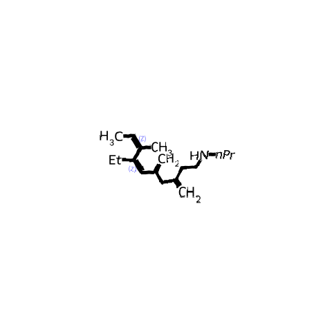 C=C(/C=C(CC)\C(C)=C/C)CC(=C)CCNCCC